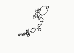 CCn1nc(CC(C)(C)COC(=O)c2ccc(S(=O)(=O)NC)cc2)c2c1C(=O)NCCCOCCC2